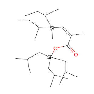 CCC(C)[Si](C)(C=C(C)C(=O)O[Si](CC(C)C)(CC(C)C)CC(C)C)C(C)CC